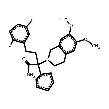 COc1cc2c(cc1OC)CN(C(CCc1cc(F)ccc1F)(C(N)=O)c1ccccc1)CC2